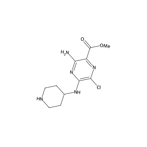 COC(=O)c1nc(Cl)c(NC2CCNCC2)nc1N